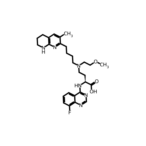 COCCN(CCCCc1nc2c(cc1C)CCCN2)CC[C@H](Nc1ncnc2c(F)cccc12)C(=O)O